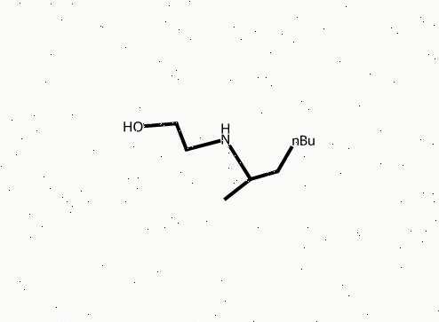 CCCCCC(C)NCCO